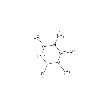 CN1C(=O)C([N+](=O)[O-])C(Cl)NC1O